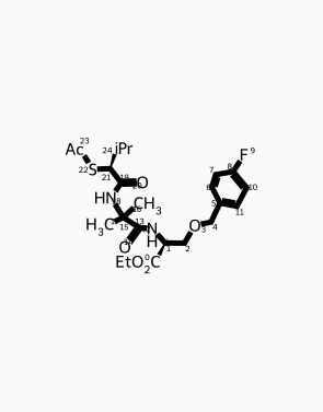 CCOC(=O)[C@H](COCc1ccc(F)cc1)NC(=O)C(C)(C)NC(=O)[C@@H](SC(C)=O)C(C)C